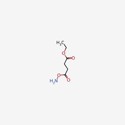 CCOC(=O)CCC(=O)ON